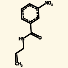 C=CCNC(=O)c1cccc([N+](=O)[O-])c1